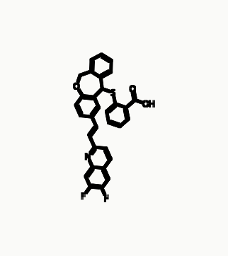 O=C(O)c1ccccc1SC1c2ccccc2COc2ccc(/C=C/c3ccc4cc(F)c(F)cc4n3)cc21